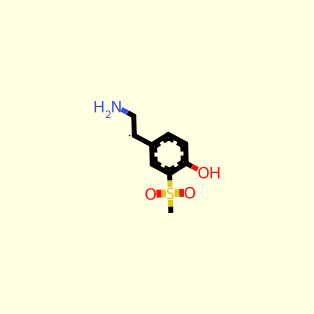 CS(=O)(=O)c1cc([CH]CN)ccc1O